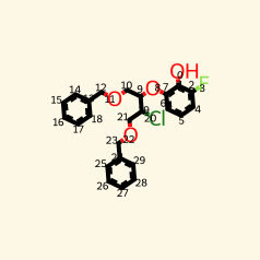 Oc1c(F)cccc1OC(COCc1ccccc1)C(Cl)COCc1ccccc1